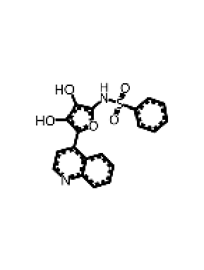 O=S(=O)(Nc1oc(-c2ccnc3ccccc23)c(O)c1O)c1ccccc1